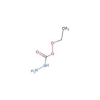 CCOOC(=O)NN